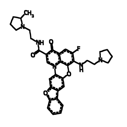 CC1CCCN1CCNC(=O)c1cn2c3c(c(NCCN4CCCC4)c(F)cc3c1=O)Oc1cc3c(cc1-2)oc1ccccc13